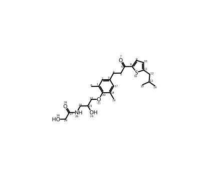 Cc1cc(CCC(=O)c2ccc(CC(C)C)s2)cc(C)c1OCC(O)CNC(=O)CO